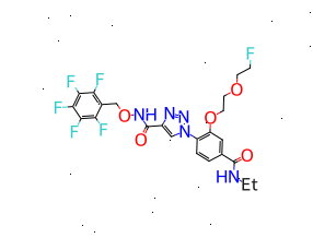 CCNC(=O)c1ccc(-n2cc(C(=O)NOCc3c(F)c(F)c(F)c(F)c3F)nn2)c(OCCOCCF)c1